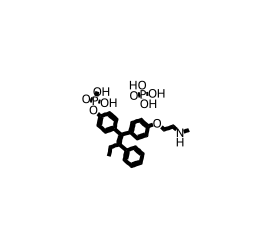 CCC(=C(c1ccc(OCCNC)cc1)c1ccc(OP(=O)(O)O)cc1)c1ccccc1.O=P(O)(O)O